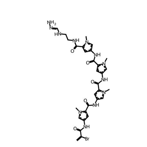 C=C(Br)C(=O)Nc1cc(C(=O)Nc2cc(C(=O)Nc3cc(C(=O)Nc4cc(C(=O)NCCNC=NN)n(C)c4)n(C)c3)n(C)c2)n(C)c1